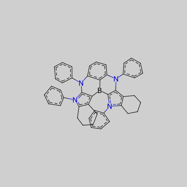 c1ccc(N2c3cccc4c3B(c3c5c(n(-c6ccccc6)c3N4c3ccccc3)CCCC5)c3c2c2c(n3-c3ccccc3)CCCC2)cc1